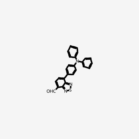 O=Cc1ccc(-c2ccc(N(c3ccccc3)c3ccccc3)cc2)c2nsnc12